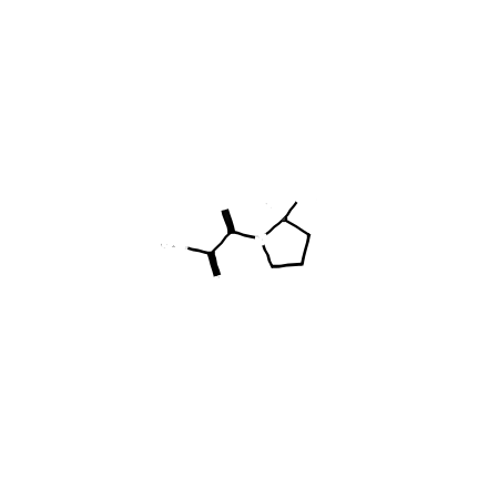 COC(=O)C(=O)N1CCC[C@@]1(C)C(=O)O